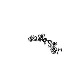 CC(C)(C)OC(=O)N[C@@H](CO)C(=O)N1CC=C(c2ccc(N3C[C@H](COc4ccon4)OC3=O)cc2F)CC1